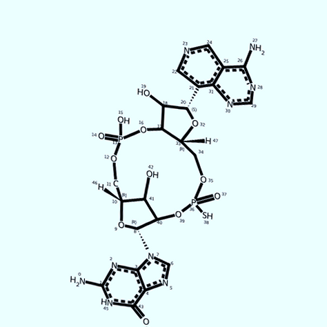 Nc1nc2c(ncn2[C@@H]2O[C@@H]3COP(=O)(O)OC4C(O)[C@H](c5cncc6c(N)ncnc56)O[C@@H]4COP(=O)(S)OC2C3O)c(=O)[nH]1